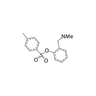 CNCc1ccccc1OS(=O)(=O)c1ccc(C)cc1